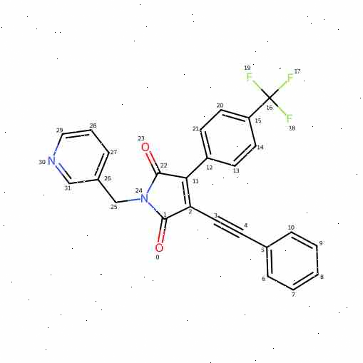 O=C1C(C#Cc2ccccc2)=C(c2ccc(C(F)(F)F)cc2)C(=O)N1Cc1cccnc1